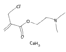 C=C(CCl)C(=O)OCCN(C)C.[CaH2]